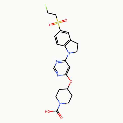 O=C(O)N1CCC(Oc2cc(N3CCc4cc(S(=O)(=O)CCF)ccc43)ncn2)CC1